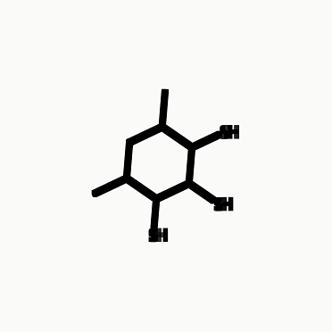 CC1CC(C)C(S)C(S)C1S